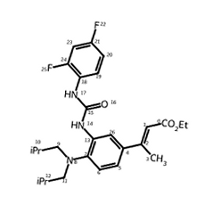 CCOC(=O)C=C(C)c1ccc(N(CC(C)C)CC(C)C)c(NC(=O)Nc2ccc(F)cc2F)c1